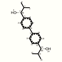 CC(C)[C@@H](O)c1ccc(-c2ccc([C@H](O)C(C)C)cc2)cc1